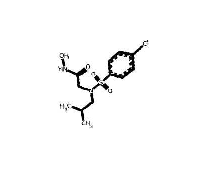 CC(C)CN(CC(=O)NO)S(=O)(=O)c1ccc(Cl)cc1